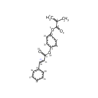 C=C(C)C(=O)Oc1ccc(OC(=O)/C=C/c2ccccc2)cc1